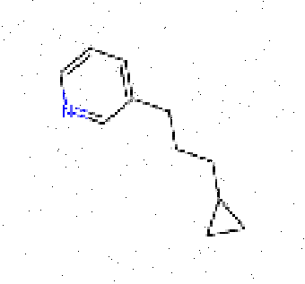 [CH](Cc1cccnc1)CC1CC1